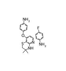 CC1(C)CSc2c(Oc3ccc(N)cc3)ccnc2N1.Nc1ccc(F)cc1